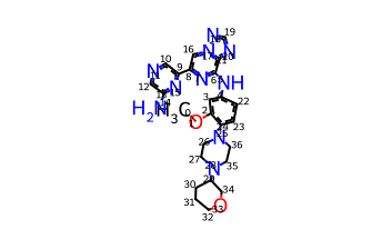 COc1cc(Nc2nc(-c3cncc(N)n3)cn3ncnc23)ccc1N1CCN(C2CCCOC2)CC1